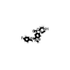 O=[N+]([O-])c1cc2c(NCc3ccc(F)cc3)ncnc2cc1N1CCCNCC1